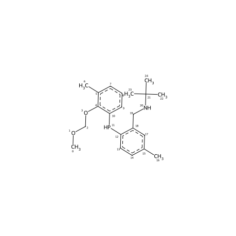 COCOc1c(C)cccc1Pc1ccc(C)cc1CNC(C)(C)C